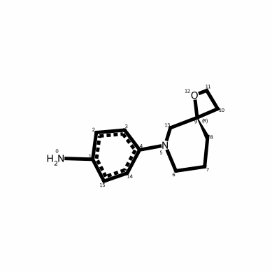 Nc1ccc(N2CCC[C@@]3(CCO3)C2)cc1